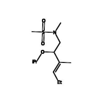 CC/C=C(\C)C(CN(C)S(C)(=O)=O)OC(C)C